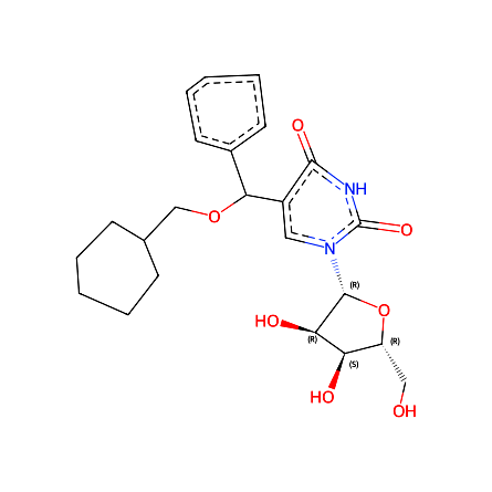 O=c1[nH]c(=O)n([C@@H]2O[C@H](CO)[C@@H](O)[C@H]2O)cc1C(OCC1CCCCC1)c1ccccc1